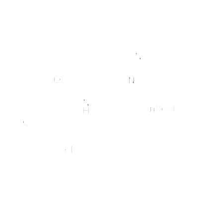 CCCCCn1nccc1NC(=O)C(Cl)Cl